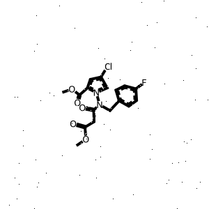 COC(=O)CC(=O)N(Cc1ccc(F)cc1)n1cc(Cl)cc1C(=O)OC